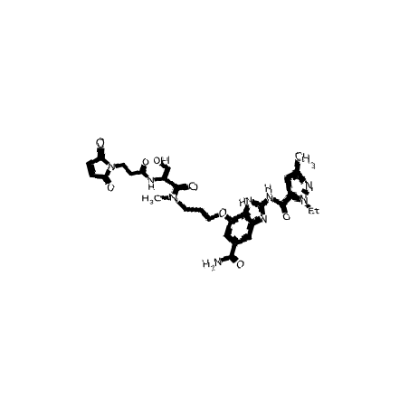 CCn1nc(C)cc1C(=O)Nc1nc2cc(C(N)=O)cc(OCCCN(C)C(=O)C(CO)NC(=O)CCN3C(=O)C=CC3=O)c2[nH]1